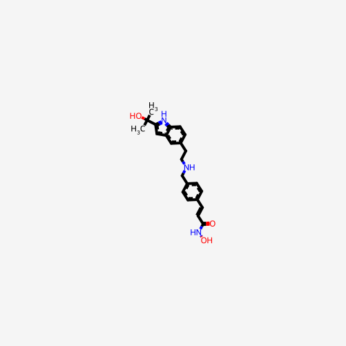 CC(C)(O)c1cc2cc(CCNCc3ccc(/C=C/C(=O)NO)cc3)ccc2[nH]1